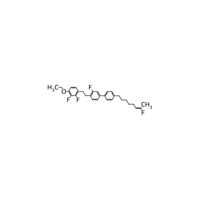 CCOc1ccc(CCc2ccc(-c3ccc(CCCCC/C=C(\C)F)cc3)cc2F)c(F)c1F